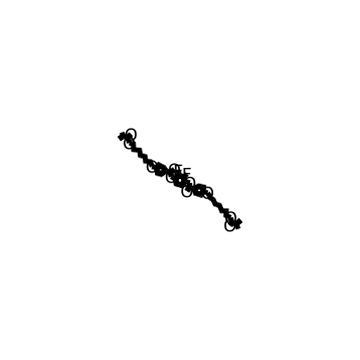 C=C(C)C(=O)OCCCCCCCOc1ccc(C(=O)Oc2ccc(OC(=O)c3ccc(OCCCCCCCOC(=O)C(=C)C)cc3)c(F)c2F)cc1